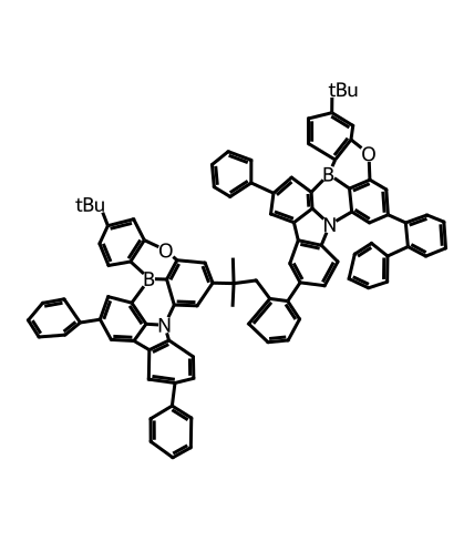 CC(C)(C)c1ccc2c(c1)Oc1cc(C(C)(C)Cc3ccccc3-c3ccc4c(c3)c3cc(-c5ccccc5)cc5c3n4-c3cc(-c4ccccc4-c4ccccc4)cc4c3B5c3ccc(C(C)(C)C)cc3O4)cc3c1B2c1cc(-c2ccccc2)cc2c4cc(-c5ccccc5)ccc4n-3c12